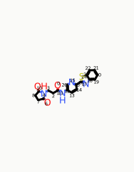 O=C(CCN1C(=O)CCC1O)Nc1ccc(-c2nc3ccccc3s2)nc1